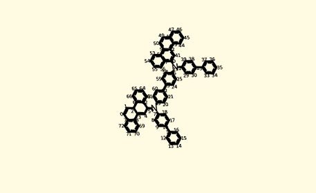 C1=CC2C(=CC(N(c3ccc(-c4ccccc4)cc3)c3ccc(-c4ccc(N(c5ccc(-c6ccccc6)cc5)c5cc6c7ccccc7ccc6c6ccccc56)cc4)cc3)c3ccccc32)c2ccccc21